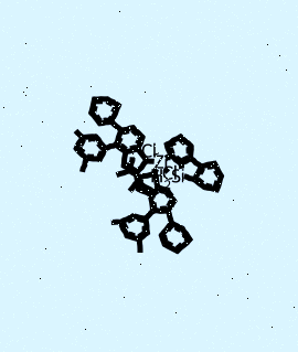 Cc1cc(C)cc(-c2c(-c3ccccc3)ccc3c2C=C(C(C)C)[CH]3[Zr]([Cl])([Cl])([c]2cccc3c2[SiH2]c2ccccc2-3)[CH]2C(C(C)C)=Cc3c2ccc(-c2ccccc2)c3-c2cc(C)cc(C)c2)c1